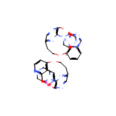 c1cc2c3ccnc(c3c1)Oc1ncc(nc1N1CCNCC1)CCO2.c1cc2c3nc(ncc3c1)Oc1ncc(nc1N1CCNCC1)CCO2